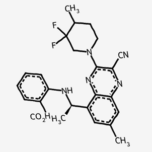 Cc1cc([C@@H](C)Nc2ccccc2C(=O)O)c2nc(N3CCC(C)C(F)(F)C3)c(C#N)nc2c1